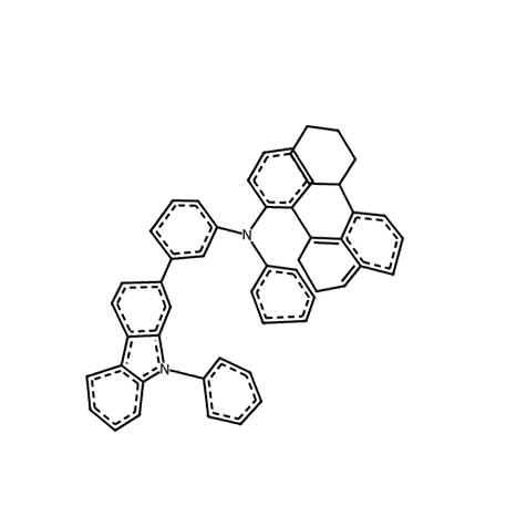 C1=c2cccc(C3CCCCC3)c2=C(c2ccccc2N(c2ccccc2)c2cccc(-c3ccc4c5ccccc5n(-c5ccccc5)c4c3)c2)CC1